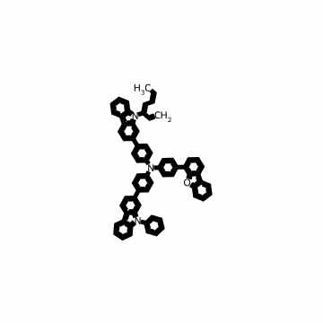 C=C/C(=C\C=C/C)n1c2ccccc2c2ccc(-c3ccc(N(c4ccc(-c5ccc6c7ccccc7n(-c7ccccc7)c6c5)cc4)c4ccc(-c5cccc6c5oc5ccccc56)cc4)cc3)cc21